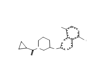 Nc1ncc(I)c2nc(NC3CCCN(C(=O)C4CC4)C3)ncc12